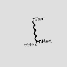 [CH2]CCCCCC(CCCCCC)CCCCCCCCCCCCCCCCC